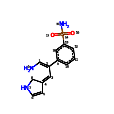 N/C=C(\C=C1\C=CNC1)c1cccc(S(N)(=O)=O)c1